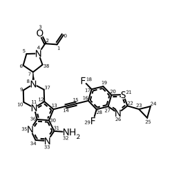 C=CC(=O)N1CC[C@H](N2CCn3c(c(C#Cc4c(F)cc5sc(C6CC6)nc5c4F)c4c(N)ncnc43)C2)C1